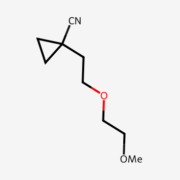 COCCOCCC1(C#N)CC1